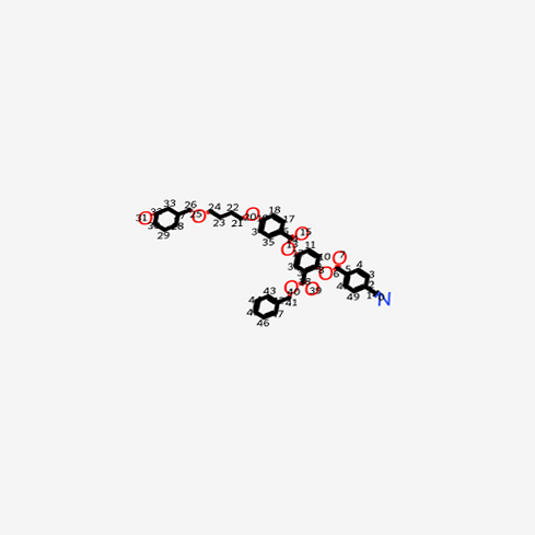 N#Cc1ccc(C(=O)Oc2ccc(OC(=O)c3ccc(OCCCCOCC4CCC5OC5C4)cc3)cc2C(=O)OCc2ccccc2)cc1